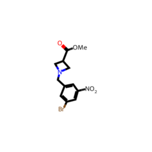 COC(=O)C1CN(Cc2cc(Br)cc([N+](=O)[O-])c2)C1